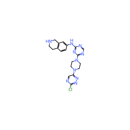 Clc1ncc(N2CCN(c3ncnc(Nc4ccc5c(c4)CNCC5)n3)CC2)nn1